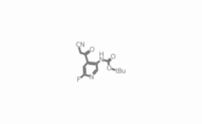 CC(C)(C)OC(=O)Nc1cnc(F)cc1C(=O)CC#N